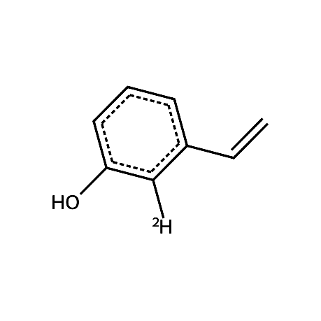 [2H]c1c(O)cccc1C=C